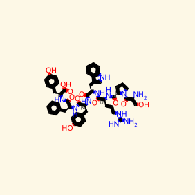 N=C(N)NCCC[C@H](NC(=O)[C@@H]1CCCN1C(=O)[C@@H](N)CO)C(=O)N[C@@H](Cc1c[nH]c2ccccc12)C(=O)N[C@@H](Cc1ccc(O)cc1)C(=O)N[C@@H](Cc1ccccc1)C(=O)N[C@@H](Cc1ccc(O)cc1)C(=O)O